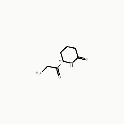 CCC(=O)[C@@H]1CCCC(=O)N1